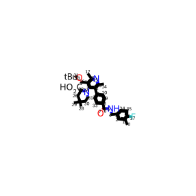 Cc1cc(CNC(=O)c2ccc(-c3c(C)nc(C)c(C(OC(C)(C)C)C(=O)O)c3N3CCC(C)(C)CC3)cc2)ccc1F